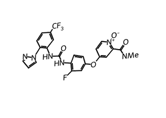 CNC(=O)c1cc(Oc2ccc(NC(=O)Nc3cc(C(F)(F)F)ccc3-n3cccn3)c(F)c2)cc[n+]1[O-]